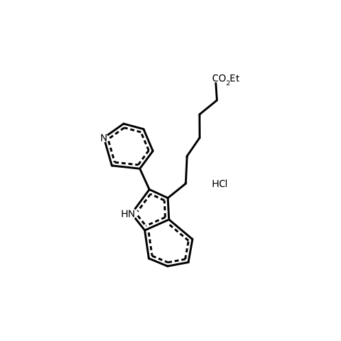 CCOC(=O)CCCCCc1c(-c2cccnc2)[nH]c2ccccc12.Cl